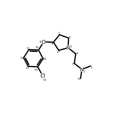 CN(C)CCN1CCC(Oc2cccc(Cl)c2)C1